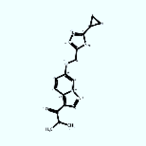 CC(C)C(=O)c1cnn2cc(OCc3nnc(C4CC4)s3)ccc12